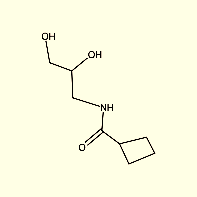 O=C(NCC(O)CO)C1CCC1